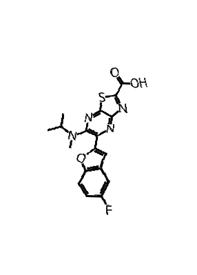 CC(C)N(C)c1nc2sc(C(=O)O)nc2nc1-c1cc2cc(F)ccc2o1